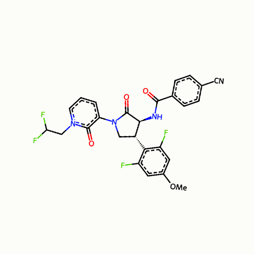 COc1cc(F)c([C@@H]2CN(c3cccn(CC(F)F)c3=O)C(=O)[C@H]2NC(=O)c2ccc(C#N)cc2)c(F)c1